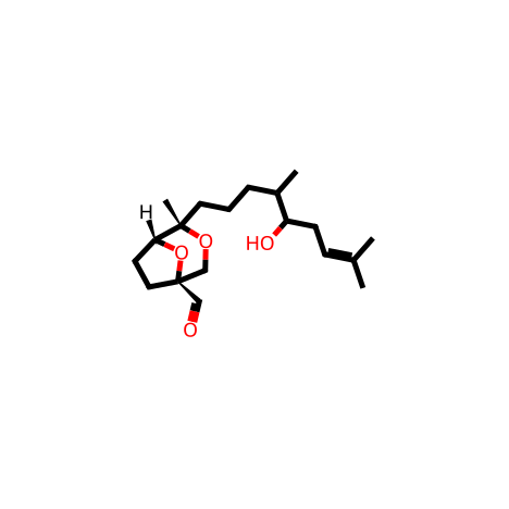 CC(C)=CCC(O)C(C)CCC[C@]1(C)OC[C@]2(C=O)CC[C@H]1O2